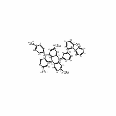 CC(C)(C)c1ccc(N2c3ccc(C(C)(C)C)cc3B3c4ccc(C(C)(C)C)cc4N(c4cccc(-c5cccc6sc7ccccc7c56)c4)c4cc(C(C)(C)C)cc2c43)cc1